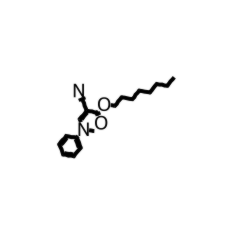 CCCCCCCCOC(=O)C(C#N)=CN(C)c1ccccc1